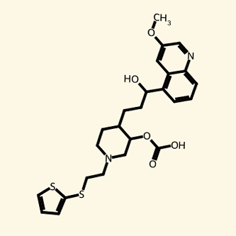 COc1cnc2cccc(C(O)CCC3CCN(CCSc4cccs4)CC3OC(=O)O)c2c1